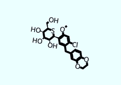 COc1cc(Cl)c(Cc2ccc3c(c2)OCCO3)cc1[C@@H]1S[C@H](CO)[C@@H](O)[C@H](O)[C@H]1O